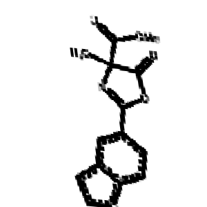 COC(=O)C1(C)N=C(c2ccc3occc3c2)OC1=O